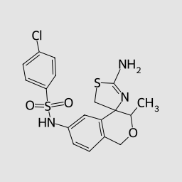 CC1OCc2ccc(NS(=O)(=O)c3ccc(Cl)cc3)cc2C12CSC(N)=N2